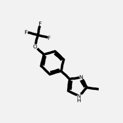 Cc1nc(-c2ccc(OC(F)(F)F)cc2)c[nH]1